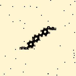 CCCCCCc1ccc(-c2ccc(CCc3ccc(OCCCC)cc3)cn2)cc1